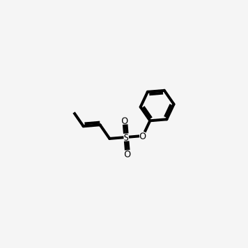 CC=CCS(=O)(=O)Oc1ccccc1